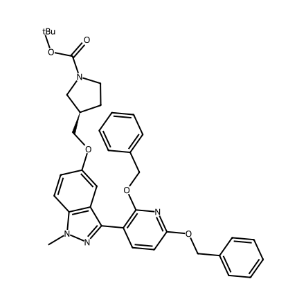 Cn1nc(-c2ccc(OCc3ccccc3)nc2OCc2ccccc2)c2cc(OC[C@@H]3CCN(C(=O)OC(C)(C)C)C3)ccc21